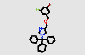 Fc1cc(Br)cc(COCc2cn(C(c3ccccc3)(c3ccccc3)c3ccccc3)cn2)c1